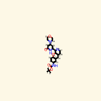 CC(C)(C)OC(=O)Nc1ccc2c(c1)Cc1ccnc(-c3cc(N4CCOCC4)cc(=O)[nH]3)c1O2